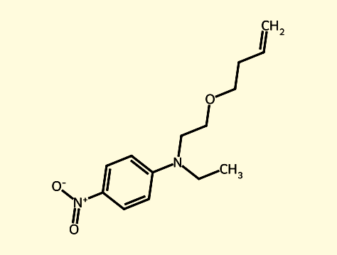 C=CCCOCCN(CC)c1ccc([N+](=O)[O-])cc1